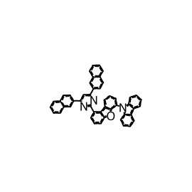 c1ccc2cc(-c3cc(-c4ccc5ccccc5c4)nc(-c4cccc5oc6c(-n7c8ccccc8c8ccccc87)cccc6c45)n3)ccc2c1